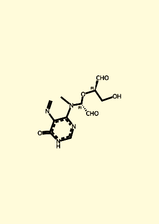 C=Nc1c(N(C)[C@@H](C=O)O[C@@H](C=O)CO)nc[nH]c1=O